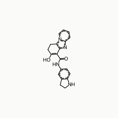 O=C(Nc1ccc2c(c1)CCN2)C1=C(O)CCc2c1nc1ccccn21